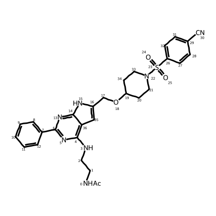 CC(=O)NCCNc1nc(-c2ccccc2)nc2[nH]c(COC3CCN(S(=O)(=O)c4ccc(C#N)cc4)CC3)cc12